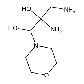 NCC(N)(O)C(O)N1CCOCC1